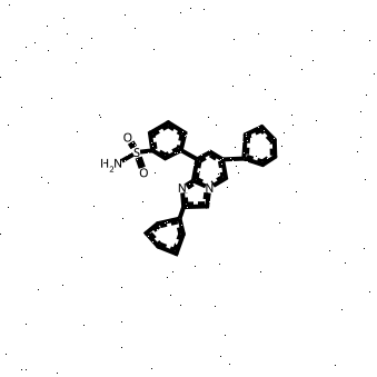 NS(=O)(=O)c1cccc(-c2cc(-c3ccccc3)cn3cc(-c4ccccc4)nc23)c1